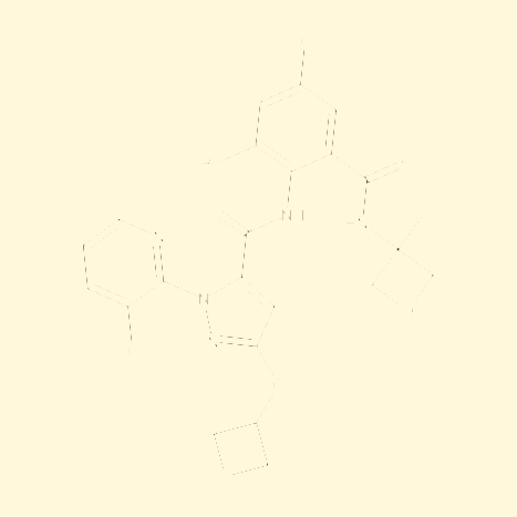 CC1(NC(=O)c2cc(Cl)cc(Br)c2NC(=O)c2cc(OC3CSC3)nn2-c2ncccc2Cl)COC1